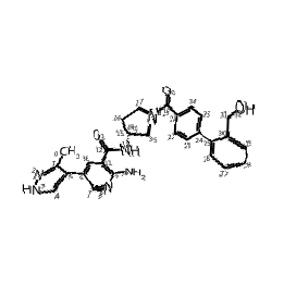 Cc1n[nH]cc1-c1cnc(N)c(C(=O)N[C@@H]2CCN(C(=O)c3ccc(-c4ccccc4CO)cc3)C2)c1